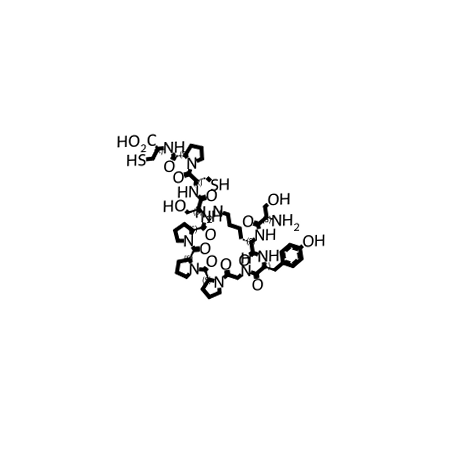 NCCCC[C@H](NC(=O)[C@@H](N)CO)C(=O)N[C@@H](Cc1ccc(O)cc1)C(=O)NCC(=O)N1CCC[C@H]1C(=O)N1CCC[C@H]1C(=O)N1CCC[C@H]1C(=O)N[C@@H](CO)C(=O)N[C@@H](CS)C(=O)N1CCC[C@H]1C(=O)N[C@@H](CS)C(=O)O